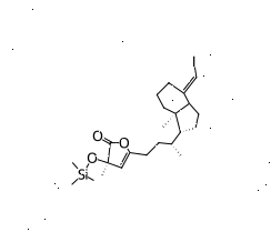 C[C@H](CCC1=C[C@@](C)(O[Si](C)(C)C)C(=O)O1)[C@H]1CCC2/C(=C/I)CCC[C@@]21C